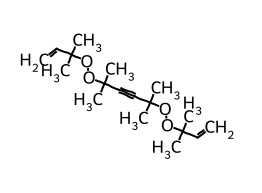 C=CC(C)(C)OOC(C)(C)C#CC(C)(C)OOC(C)(C)C=C